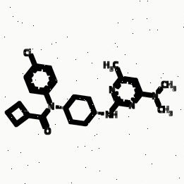 Cc1cc(N(C)C)nc(N[C@H]2CC[C@@H](N(C(=O)C3CCC3)c3ccc(Cl)cc3)CC2)n1